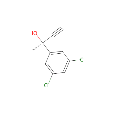 C#C[C@](C)(O)c1cc(Cl)cc(Cl)c1